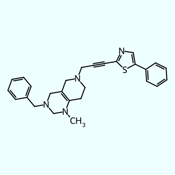 CN1CN(Cc2ccccc2)CC2=C1CCN(CC#Cc1ncc(-c3ccccc3)s1)C2